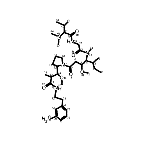 CCC(C)C(C(CC(=O)N1CCCC1C(OC)C(C)C(=O)NCCc1cccc(N)c1)OC)N(C)C(=O)CNC(=O)C(C(C)C)N(C)C